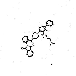 CN(C)CCCNc1c(N2CCN(C(=O)c3ccccc3N3C(=O)c4ccccc4C3=O)CC2)cnn(-c2ccccc2)c1=O